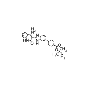 CC(C)(C)OC(=O)N1CCC(c2ccc3nc(-c4c(N)c5ccsc5[nH]c4=O)[nH]c3c2)CC1